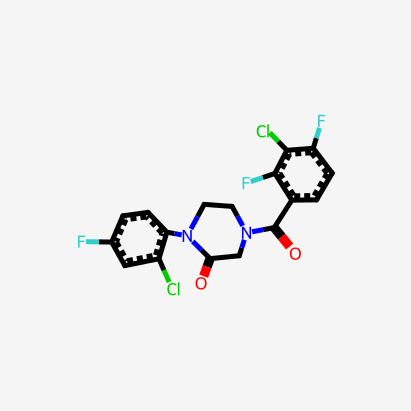 O=C(c1ccc(F)c(Cl)c1F)N1CCN(c2ccc(F)cc2Cl)C(=O)C1